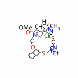 CCn1nc2cc1CSc1cc(c3ccccc3c1)OCCCn1c(C(=O)OC)c(C)c3c(c(Cl)ccc31)-c1c(nn(C)c1C)CSC2